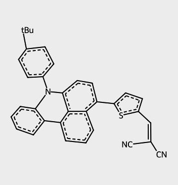 CC(C)(C)c1ccc(N2c3ccccc3-c3cccc4c(-c5ccc(C=C(C#N)C#N)s5)ccc2c34)cc1